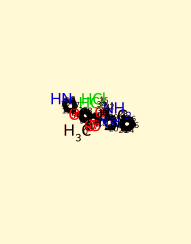 COc1cc(OC2CCNCC2)ccc1CC(=O)N1CCN(c2ccccc2C)CC1C(N)=O.Cl.Cl